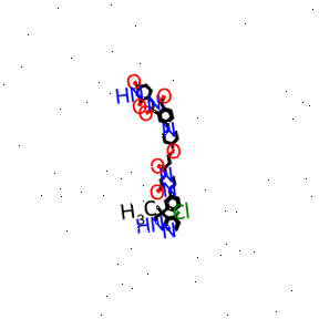 CCC1(c2cccc(N3CCN(C(=O)CCOC4CCN(c5ccc6c(c5)C(=O)N(C5CCC(=O)NC5=O)C6=O)CC4)CC3=O)c2)CNc2nccc(Cl)c21